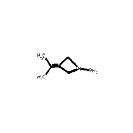 CC(C)=C1CN(P)C1